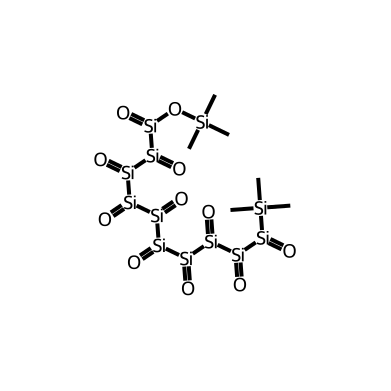 C[Si](C)(C)O[Si](=O)[Si](=O)[Si](=O)[Si](=O)[Si](=O)[Si](=O)[Si](=O)[Si](=O)[Si](=O)[Si](=O)[Si](C)(C)C